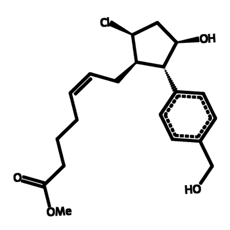 COC(=O)CCC/C=C\C[C@@H]1[C@@H](c2ccc(CO)cc2)[C@H](O)C[C@@H]1Cl